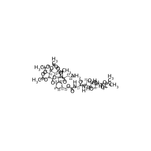 COC(=O)[C@H]1O[C@@H](Oc2ccc(COC(=O)NCC(=O)N[C@H]3CO[C@H]4[C@@H]3OC[C@@H]4NC(=O)OC(C)(C)C)cc2CNC(=O)CCN)[C@H](OC(C)=O)[C@@H](OC(C)=O)[C@@H]1OC(C)=O